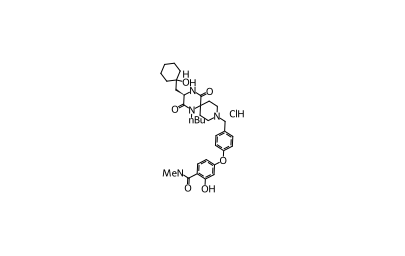 CCCCN1C(=O)[C@@H](CC2(O)CCCCC2)NC(=O)C12CCN(Cc1ccc(Oc3ccc(C(=O)NC)c(O)c3)cc1)CC2.Cl